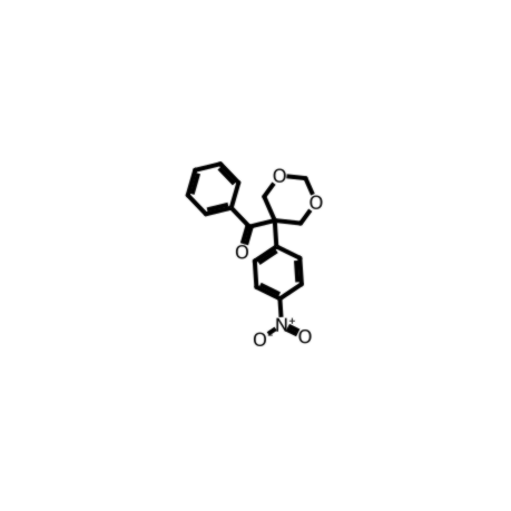 O=C(c1ccccc1)C1(c2ccc([N+](=O)[O-])cc2)COCOC1